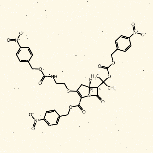 CC(C)(OC(=O)OCc1ccc([N+](=O)[O-])cc1)[C@H]1C(=O)N2C(C(=O)OCc3ccc([N+](=O)[O-])cc3)=C(SCCNC(=O)OCc3ccc([N+](=O)[O-])cc3)C[C@H]12